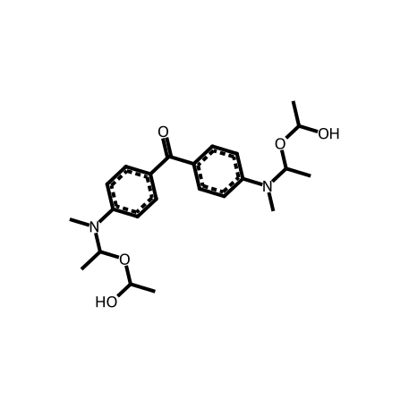 CC(O)OC(C)N(C)c1ccc(C(=O)c2ccc(N(C)C(C)OC(C)O)cc2)cc1